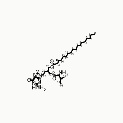 CCCCCCCCCCCCCCCCCC(=O)OCC(CCn1cnc2c(=O)[nH]c(N)nc21)COC(=O)[C@@H](N)C(C)CC